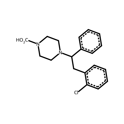 O=C(O)N1CCN(C(Cc2ccccc2Cl)c2ccccc2)CC1